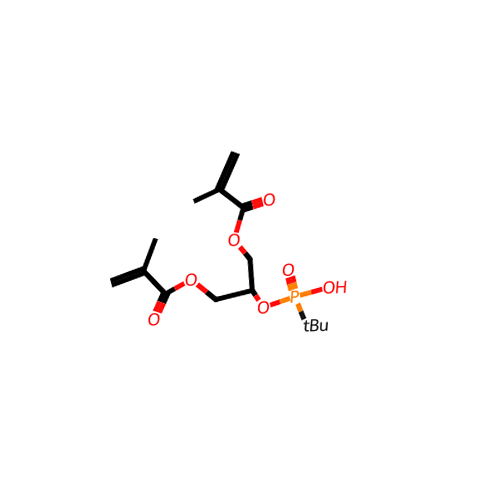 C=C(C)C(=O)OCC(COC(=O)C(=C)C)OP(=O)(O)C(C)(C)C